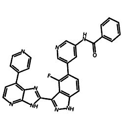 O=C(Nc1cncc(-c2ccc3[nH]nc(-c4nc5c(-c6ccncc6)ccnc5[nH]4)c3c2F)c1)c1ccccc1